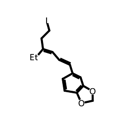 CC/C(=C\C=C\c1ccc2c(c1)OCO2)CCI